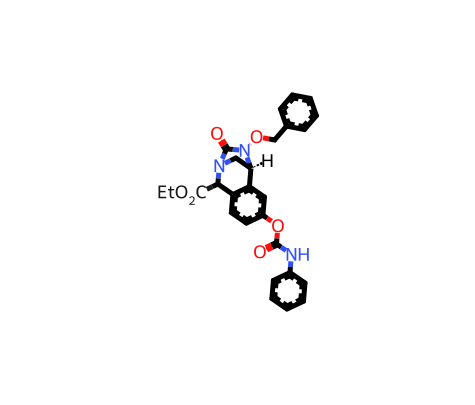 CCOC(=O)C1c2ccc(OC(=O)Nc3ccccc3)cc2[C@H]2CN1C(=O)N2OCc1ccccc1